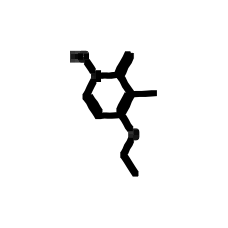 C=C1C(C)=C(OCC)C=CN1O